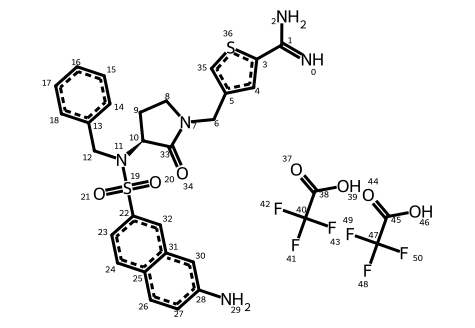 N=C(N)c1cc(CN2CC[C@H](N(Cc3ccccc3)S(=O)(=O)c3ccc4ccc(N)cc4c3)C2=O)cs1.O=C(O)C(F)(F)F.O=C(O)C(F)(F)F